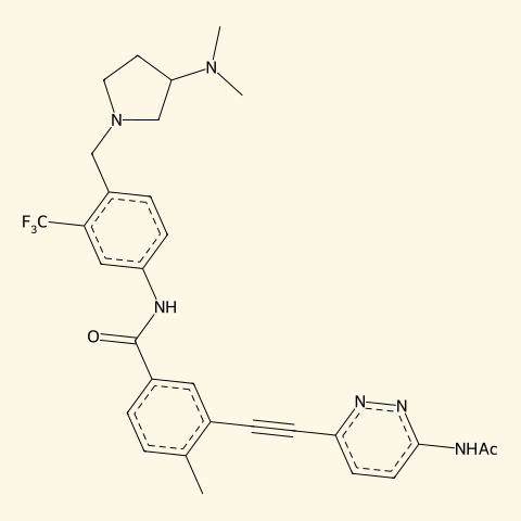 CC(=O)Nc1ccc(C#Cc2cc(C(=O)Nc3ccc(CN4CCC(N(C)C)C4)c(C(F)(F)F)c3)ccc2C)nn1